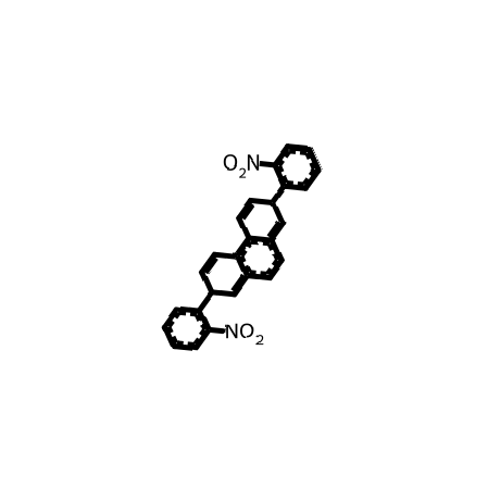 O=[N+]([O-])c1ccccc1C1C=Cc2c3c(ccc2=C1)=CC(c1ccccc1[N+](=O)[O-])C=C3